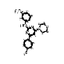 Fc1ccc(-c2cc(N3CCOCC3)nc(Nc3cccc(C(F)(F)F)c3)n2)cc1